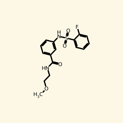 COCCNC(=O)c1cccc(NS(=O)(=O)c2ccccc2F)c1